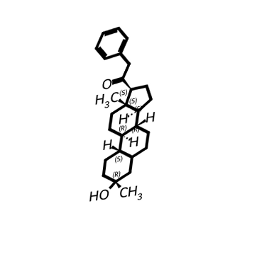 C[C@@]1(O)CC[C@H]2C(CC[C@@H]3[C@@H]2CC[C@]2(C)[C@@H](C(=O)Cc4ccccc4)CC[C@@H]32)C1